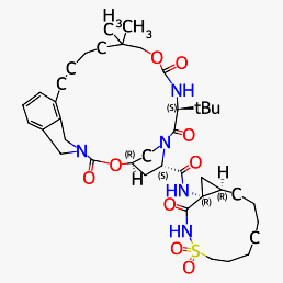 CC1(C)CCCCc2cccc3c2CN(C3)C(=O)O[C@@H]2C[C@@H](C(=O)N[C@]34C[C@H]3CCCCCCCS(=O)(=O)NC4=O)N(C2)C(=O)[C@H](C(C)(C)C)NC(=O)OC1